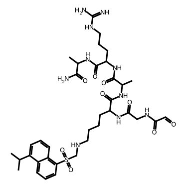 CC(NC(=O)C(CCCNC(=N)N)NC(=O)C(C)NC(=O)C(CCCCNCS(=O)(=O)c1cccc2c(C(C)C)cccc12)NC(=O)CNC(=O)C=O)C(N)=O